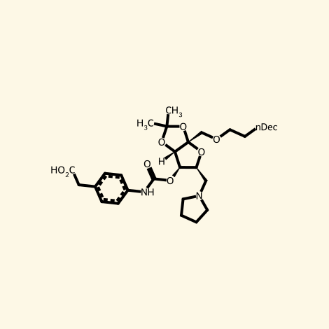 CCCCCCCCCCCCOC[C@@]12O[C@@H](CN3CCCC3)[C@@H](OC(=O)Nc3ccc(CC(=O)O)cc3)[C@@H]1OC(C)(C)O2